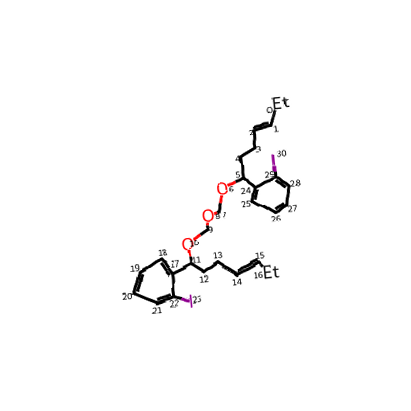 CCC=CCCC(OCOCOC(CCC=CCC)c1ccccc1I)c1ccccc1I